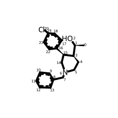 C[C@H](O)[C@H]1CCN(Cc2ccccc2)C[C@H]1c1ccc(Cl)cc1